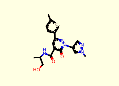 Cc1ccc(-c2cc(C(=O)N[C@H](C)CO)c(=O)n(-c3cnn(C)c3)n2)cc1